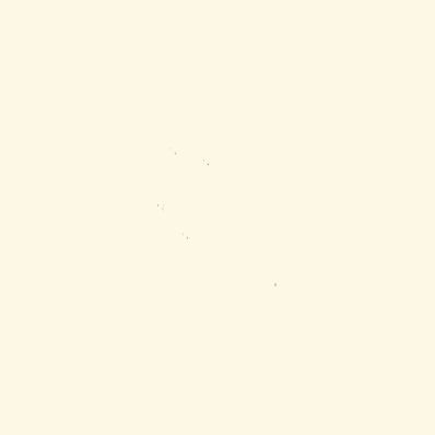 Cc1cc(CO)ccc1N(C)c1cc2c(cn1)ncn2C